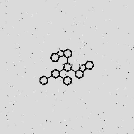 c1ccc(-c2ccc(-c3cc(-c4cccc5c4oc4ccccc45)nc(-c4cccc5sc6ccccc6c45)n3)c(-c3ccccc3)c2)cc1